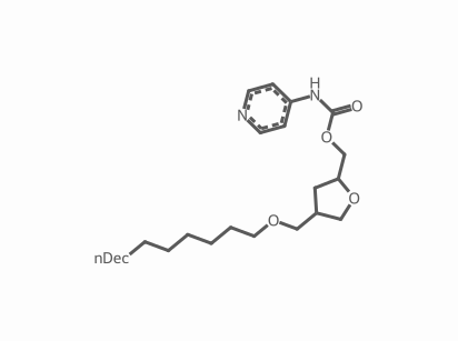 CCCCCCCCCCCCCCCCOCC1COC(COC(=O)Nc2ccncc2)C1